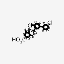 Cc1cc(C(=O)O)cc(C)c1NC(=O)c1cc(-c2cccc(Cl)c2)ccc1Cl